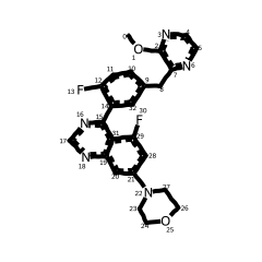 COc1nccnc1Cc1ccc(F)c(-c2ncnc3cc(N4CCOCC4)cc(F)c23)c1